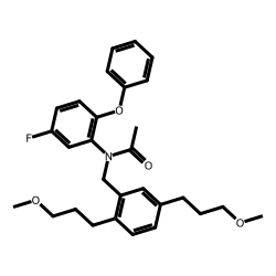 COCCCc1ccc(CCCOC)c(CN(C(C)=O)c2cc(F)ccc2Oc2ccccc2)c1